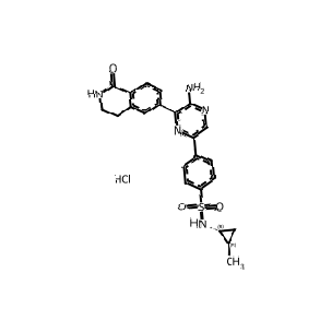 C[C@@H]1C[C@H]1NS(=O)(=O)c1ccc(-c2cnc(N)c(-c3ccc4c(c3)CCNC4=O)n2)cc1.Cl